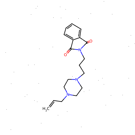 C=CCN1CCN(CCCN2C(=O)c3ccccc3C2=O)CC1